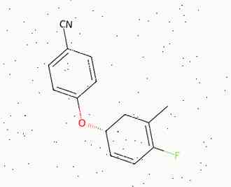 CC1=C(F)C=C[C@H](Oc2ccc(C#N)cc2)C1